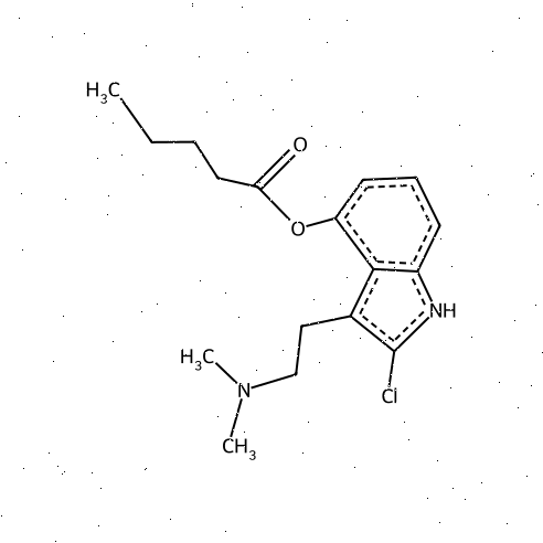 CCCCC(=O)Oc1cccc2[nH]c(Cl)c(CCN(C)C)c12